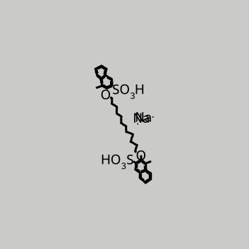 Cc1c(OCCCCCCCCCCCCOc2c(S(=O)(=O)O)cc3ccccc3c2C)c(S(=O)(=O)O)cc2ccccc12.[Na].[Na]